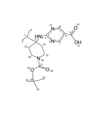 CC(C)C1(Nc2ncc(C(=O)O)cn2)CCN(C(=O)OC(C)(C)C)CC1